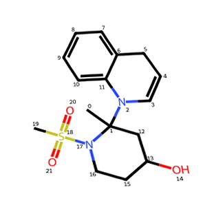 CC1(N2C=CCc3ccccc32)CC(O)CCN1S(C)(=O)=O